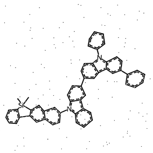 C[Si]1(C)c2ccccc2-c2cc3ccc(-n4c5ccccc5c5cc(-c6ccc7c(c6)c6cc(-c8ccccc8)ccc6n7-c6ccccc6)ccc54)cc3cc21